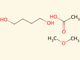 CC(=O)O.COC.OCCCCO